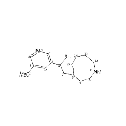 COc1cncc(C2CC3CCNCCC(C3)C2)c1